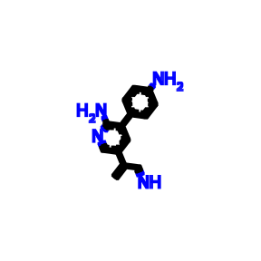 C=C(C=N)c1cnc(N)c(-c2ccc(N)cc2)c1